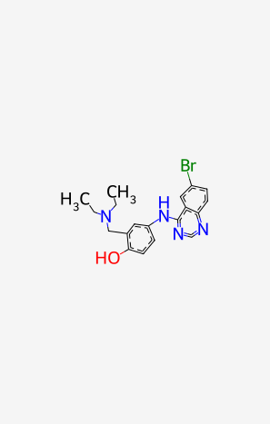 CCN(CC)Cc1cc(Nc2ncnc3ccc(Br)cc23)ccc1O